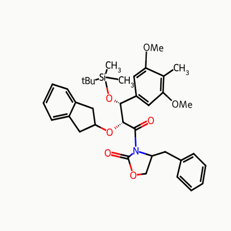 COc1cc([C@@H](O[Si](C)(C)C(C)(C)C)[C@@H](OC2Cc3ccccc3C2)C(=O)N2C(=O)OCC2Cc2ccccc2)cc(OC)c1C